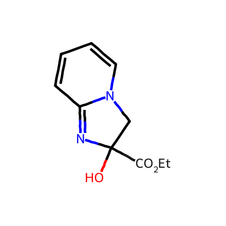 CCOC(=O)C1(O)CN2C=CC=CC2=N1